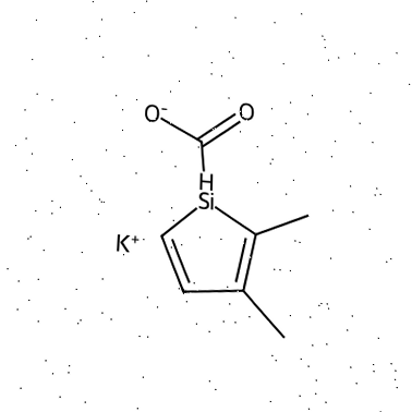 CC1=C(C)[SiH](C(=O)[O-])C=C1.[K+]